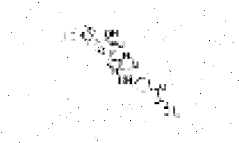 CCOC(=O)N1CCC(Nc2ncnc3c2ncn3[C@@H]2O[C@H](c3nc(C)no3)[C@@H](O)[C@H]2O)CC1